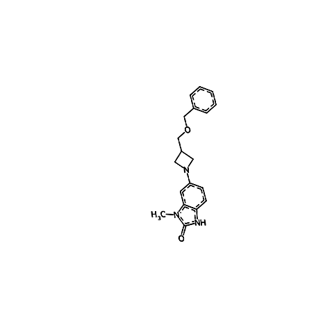 Cn1c(=O)[nH]c2ccc(N3CC(COCc4ccccc4)C3)cc21